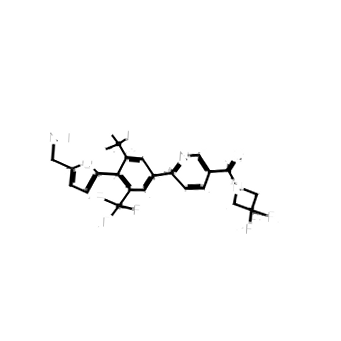 NCc1ccc(-c2c(C(F)(F)F)cc(-c3ccc(C(=O)N4CC(F)(F)C4)cn3)cc2C(F)(F)F)o1